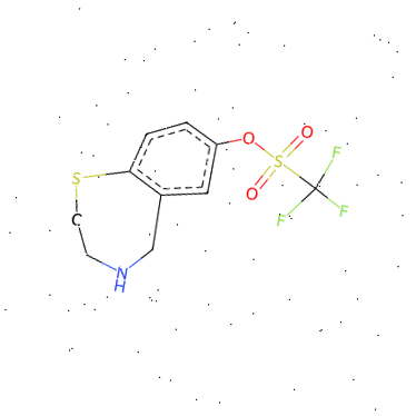 O=S(=O)(Oc1ccc2c(c1)CNCCS2)C(F)(F)F